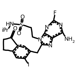 CC(C)NS(=O)(=O)CCn1c(Cc2cc3c(cc2I)CCC3=O)nc2c(N)nc(F)nc21